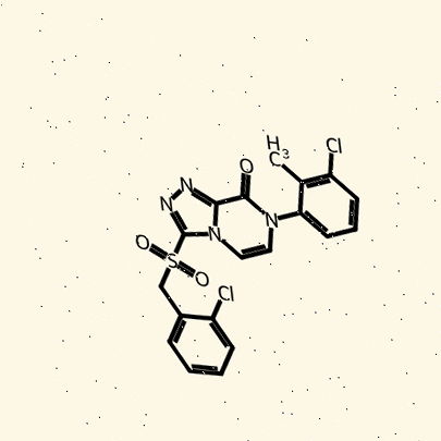 Cc1c(Cl)cccc1-n1ccn2c(S(=O)(=O)Cc3ccccc3Cl)nnc2c1=O